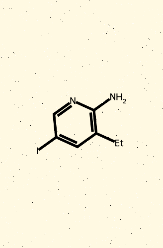 CCc1cc(I)cnc1N